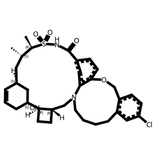 C[C@@H]1[C@@H](C)C[C@@H]2C=CC[C@@](O)(C2)[C@@H]2CC[C@H]2CN2CCCCc3cc(Cl)ccc3COc3ccc(cc32)C(=O)NS1(=O)=O